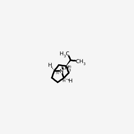 CC(C)[C@H]1C[C@H]2CC[C@@H](C1)N2C